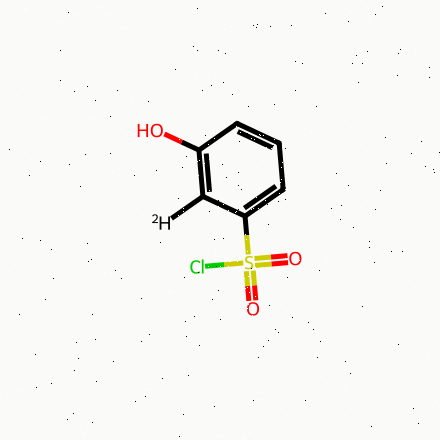 [2H]c1c(O)cccc1S(=O)(=O)Cl